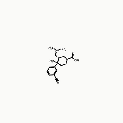 CN(C)C[C@H]1CN(C(=O)O)CC[C@]1(O)c1cccc(C#N)c1